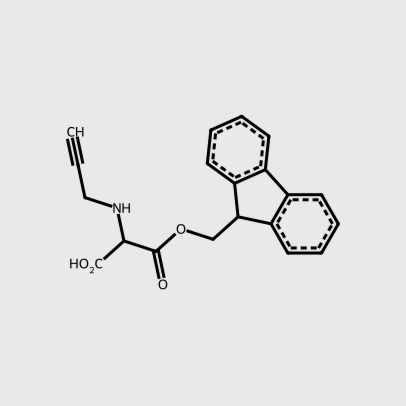 C#CCNC(C(=O)O)C(=O)OCC1c2ccccc2-c2ccccc21